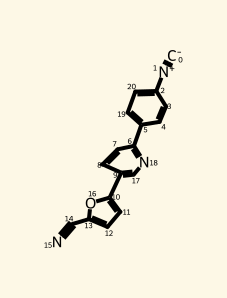 [C-]#[N+]c1ccc(-c2ccc(-c3ccc(C#N)o3)cn2)cc1